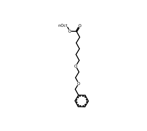 CCCCCCCCOC(=O)CCCCCOCCOCc1ccccc1